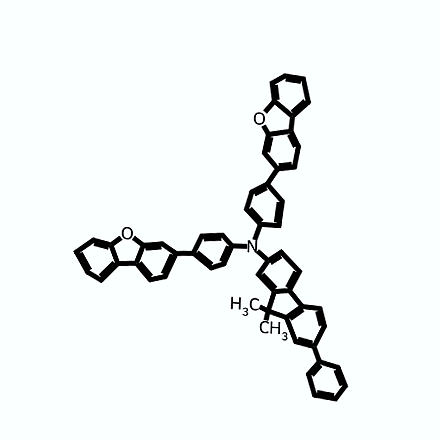 CC1(C)c2cc(-c3ccccc3)ccc2-c2ccc(N(c3ccc(-c4ccc5c(c4)oc4ccccc45)cc3)c3ccc(-c4ccc5c(c4)oc4ccccc45)cc3)cc21